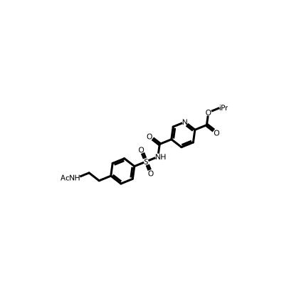 CC(=O)NCCc1ccc(S(=O)(=O)NC(=O)c2ccc(C(=O)OC(C)C)nc2)cc1